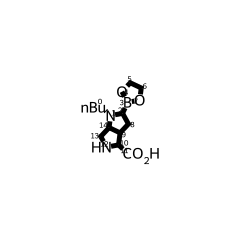 CCCCN1C(B2OCCO2)CC2C(C(=O)O)NCC21